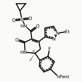 CCCCCc1ccc([C@]2(C)CC(c3ccn(CC)n3)=C(C(=O)NS(=O)(=O)C3CC3)C(=O)N2)c(F)c1